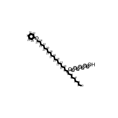 CCCCCCCCC(CCCCCCCCCCCCCCCCCOc1ccccc1)OOOOOOOOO